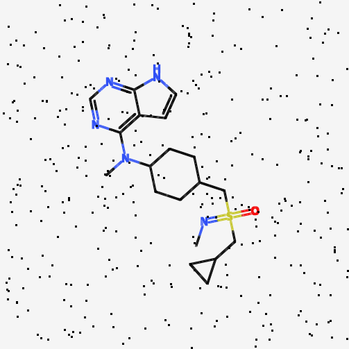 CN=S(=O)(CC1CC1)CC1CCC(N(C)c2ncnc3[nH]ccc23)CC1